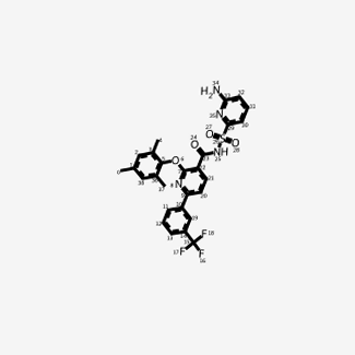 Cc1cc(C)c(Oc2nc(-c3cccc(C(F)(F)F)c3)ccc2C(=O)NS(=O)(=O)c2cccc(N)n2)c(C)c1